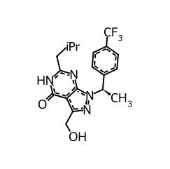 CC(C)Cc1nc2c(c(CO)nn2[C@H](C)c2ccc(C(F)(F)F)cc2)c(=O)[nH]1